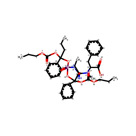 CCCOC(=O)OC(CCC)(OP(=O)(NC(=N)N(C)C(Cc1ccccc1)C(=O)O)OC(CCC)(OC(=O)OCCC)c1ccccc1)c1ccccc1